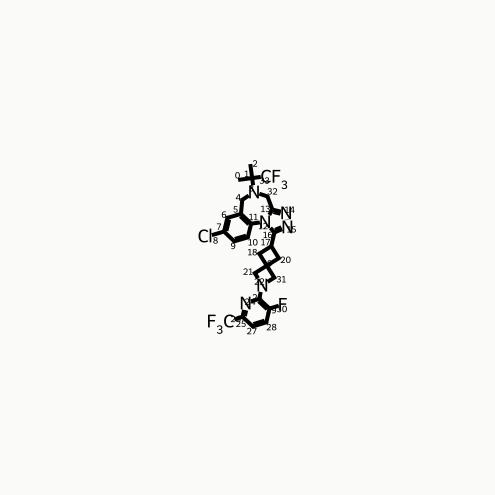 CC(C)(N1Cc2cc(Cl)ccc2-n2c(nnc2C2CC3(C2)CN(c2nc(C(F)(F)F)ccc2F)C3)C1)C(F)(F)F